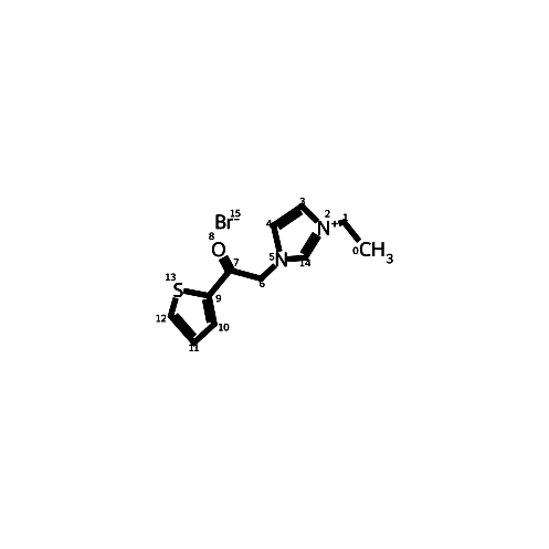 CC[n+]1ccn(CC(=O)c2cccs2)c1.[Br-]